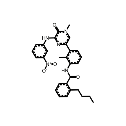 CCCCc1ccccc1C(=O)Nc1cccc(-c2cn(C)c(=O)c(Nc3cccc([N+](=O)[O-])c3)n2)c1C